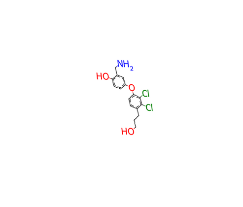 NCc1cc(Oc2ccc(CCCO)c(Cl)c2Cl)ccc1O